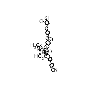 Cc1nc(C)c(C(=O)N2Cc3cc4c(cc3CC2C(=O)N[C@@H](Cc2ccc(-c3ccc(C#N)cc3)cc2)C(=O)O)OC[C@H](c2ccc(OCc3ccc(Cl)c(Cl)c3)cc2)O4)s1